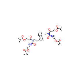 C=C(C)C(=O)OCCNC(=O)N(CCC1=C2C3CCC(CCN(C(=O)CCOC(=O)C(=C)C)C(=O)NCCOC(=O)C(=C)C)(C3)C2CC1)C(=O)CCOC(=O)C(=C)C